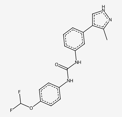 Cc1n[nH]cc1-c1cccc(NC(=O)Nc2ccc(OC(F)F)cc2)c1